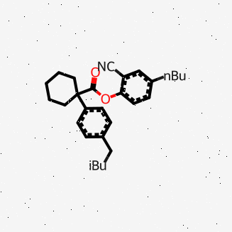 CCCCc1ccc(OC(=O)C2(c3ccc(CC(C)CC)cc3)CCCCC2)c(C#N)c1